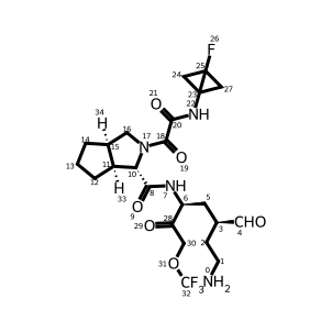 NCC[C@H](C=O)C[C@H](NC(=O)[C@@H]1[C@H]2CCC[C@H]2CN1C(=O)C(=O)NC12CC1(F)C2)C(=O)COC(F)(F)F